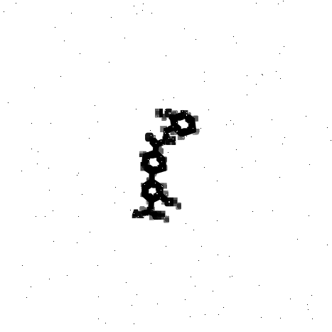 CC(=O)N(C)c1ccc(-c2ccc(C(=O)NCc3cccnc3C)cn2)cc1C